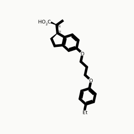 CCc1ccc(OCCCOc2ccc3c(c2)CC[C@H]3[C@H](C)C(=O)O)cc1